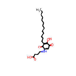 CCCCCCCCCCCCCC1=C(O)C(=O)C=C(NCCCC(=O)O)C1=O